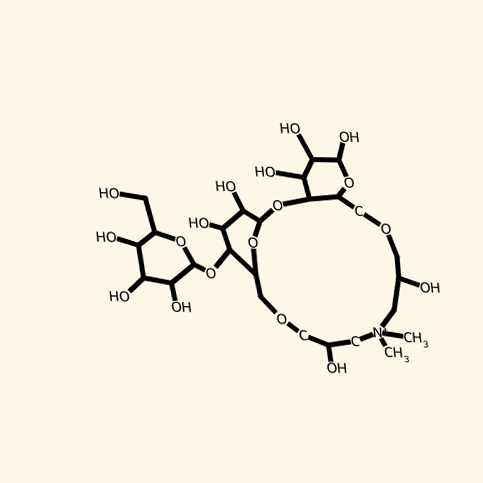 C[N+]1(C)CC(O)COCC2OC(O)C(O)C(O)C2OC2OC(COCC(O)C1)C(OC1OC(CO)C(O)C(O)C1O)C(O)C2O